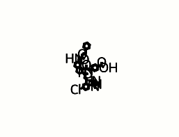 O=C(Nc1ccc2c(c1)C(C(=O)Nc1ccc(C(=O)O)cc1)N(C(=O)C=Cc1cc(Cl)ccc1-n1cnnn1)CC2)OCc1ccccc1